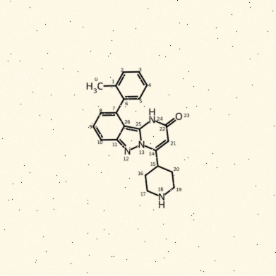 Cc1ccccc1-c1cccc2nn3c(C4CCNCC4)cc(=O)[nH]c3c12